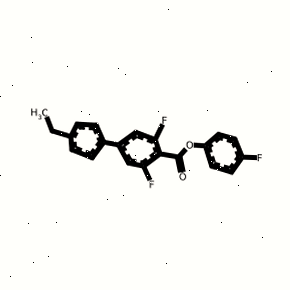 CCc1ccc(-c2cc(F)c(C(=O)Oc3ccc(F)cc3)c(F)c2)cc1